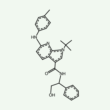 Cc1ccc(Nc2ccc3c(C(=O)NC(CO)c4ccccc4)cn(C(C)(C)C)c3n2)cc1